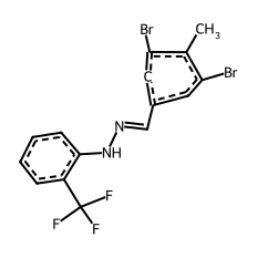 Cc1c(Br)cc(/C=N/Nc2ccccc2C(F)(F)F)cc1Br